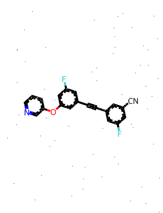 N#Cc1cc(F)cc(C#Cc2cc(F)cc(Oc3cccnc3)c2)c1